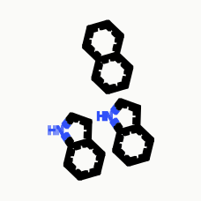 c1ccc2[nH]ccc2c1.c1ccc2[nH]ccc2c1.c1ccc2ccccc2c1